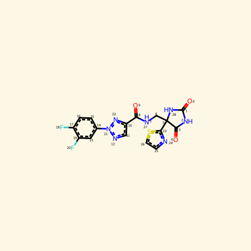 O=C1NC(=O)C(CNC(=O)c2cnn(-c3ccc(F)c(F)c3)n2)(c2nccs2)N1